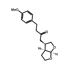 COc1ccc(CCC(=O)C[C@H]2CO[C@H]3OCC[C@@H]23)cc1